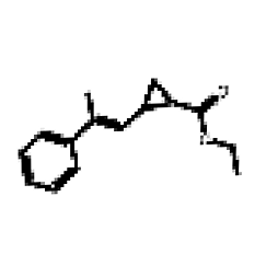 CCOC(=O)C1CC1/C=C(\C)c1ccccc1